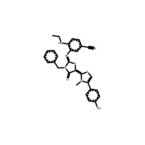 CCNc1ccc(C#N)cc1N=C1SC(=C2SC=C(c3ccc(O)cc3)N2C)C(=O)N1Cc1ccccc1